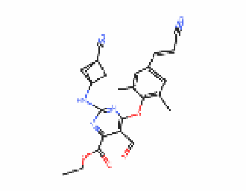 CCOC(=O)c1nc(NC23CC(C#N)(C2)C3)nc(Oc2c(C)cc(/C=C/C#N)cc2C)c1C=O